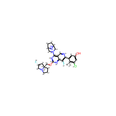 Oc1cc(Cl)c(C(F)(F)F)c(-c2ncc3c(N4CC5CCC(C4)N5)nc(OC[C@@]45CCCN4C[C@H](F)C5)nc3c2F)c1